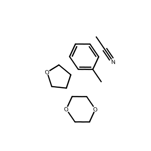 C1CCOC1.C1COCCO1.CC#N.Cc1ccccc1